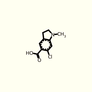 CN1CCc2cc(C(=O)O)c(Cl)cc21